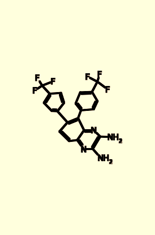 Nc1nc2ccc(-c3ccc(C(F)(F)F)cc3)c(-c3ccc(C(F)(F)F)cc3)c2nc1N